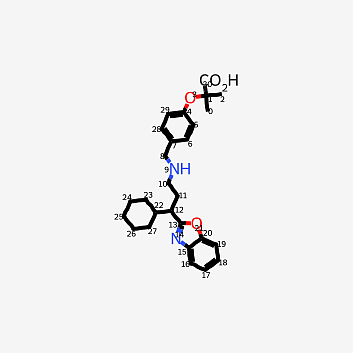 CC(C)(Oc1ccc(CNCCC(c2nc3ccccc3o2)C2CCCCC2)cc1)C(=O)O